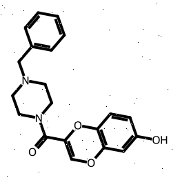 O=C(C1=COc2cc(O)ccc2O1)N1CCN(Cc2ccccc2)CC1